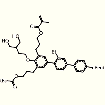 C=C(C)C(=O)OCCCc1cc(-c2ccc(-c3ccc(CCCCC)cc3)cc2CC)cc(CCCOC(=O)C(C)(C)C)c1OCCC(CO)CO